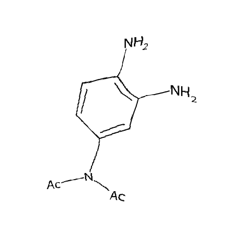 CC(=O)N(C(C)=O)c1ccc(N)c(N)c1